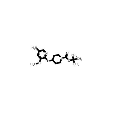 COc1cc(N)cnc1OC1CCN(C(=O)OC(C)(C)C)CC1